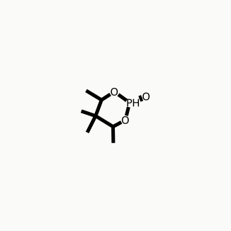 CC1O[PH](=O)OC(C)C1(C)C